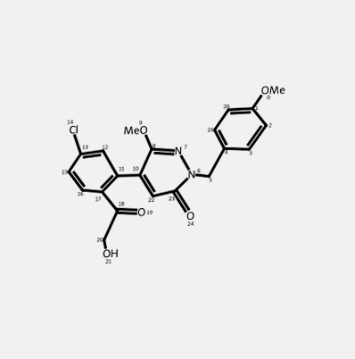 COc1ccc(Cn2nc(OC)c(-c3cc(Cl)ccc3C(=O)CO)cc2=O)cc1